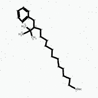 CCCCCCCCCCCCCCCCCCCCCCC(Cc1ccccc1)C(C)(C)N